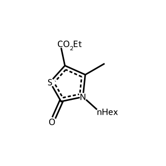 CCCCCCn1c(C)c(C(=O)OCC)sc1=O